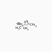 CC1=NOC(C(C)(C)C(C)(C)C)C1